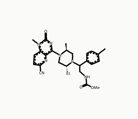 CC[C@@H]1CN(c2nc(=O)n(C)c3ccc(C#N)nc23)[C@@H](C)CN1C(CNC(=O)OC)c1ccc(C)cc1